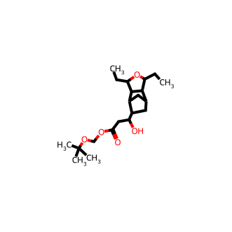 CCC1OC(CC)C2C3CC(CC3C(O)CC(=O)OCOC(C)(C)C)C12